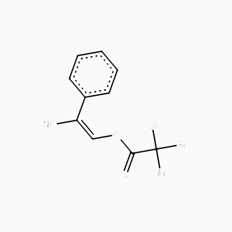 N#C/C(=C/OC(=O)C(Br)(Br)Br)c1ccccc1